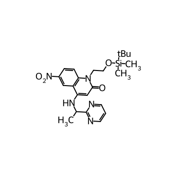 CC(Nc1cc(=O)n(CCO[Si](C)(C)C(C)(C)C)c2ccc([N+](=O)[O-])cc12)c1ncccn1